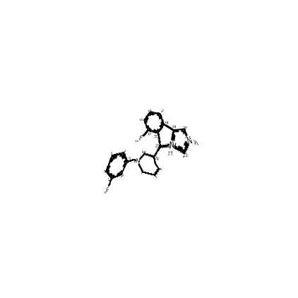 Fc1cccc(N2CCCC(C3c4c(F)cccc4-c4cncn43)C2)c1